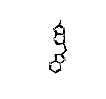 Cc1nc2ncc(Cc3cc4ncccn4n3)cn2n1